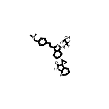 CN(C)Cc1ccc(/C=C/c2n[nH]c3cc([C@@H]4C[C@@]45C(=O)Nc4ncccc45)ccc23)cc1.O=C(O)C(F)(F)F